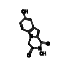 O=C1Cn2c(cc3cc(O)ccc32)C(=O)N1O